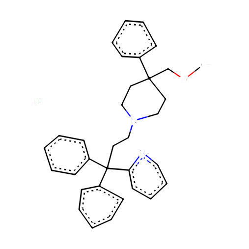 COCC1(c2ccccc2)CCN(CCC(c2ccccc2)(c2ccccc2)c2ccccn2)CC1.Cl